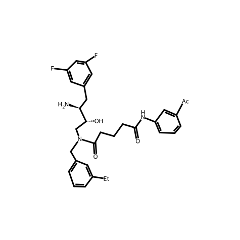 CCc1cccc(CN(C[C@@H](O)[C@@H](N)Cc2cc(F)cc(F)c2)C(=O)CCCC(=O)Nc2cccc(C(C)=O)c2)c1